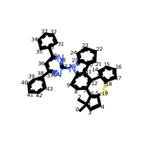 CC1(C)C=CC2=C1c1ccc3c(c1-c1ccccc1S2)c1ccccc1n3-c1nc(-c2ccccc2)cc(-c2ccccc2)n1